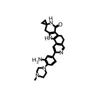 CN1CCN(c2ccc(-c3cc4c(cn3)CCc3c-4[nH]c4c3C(=O)NC3(CC3)C4)cc2N)CC1